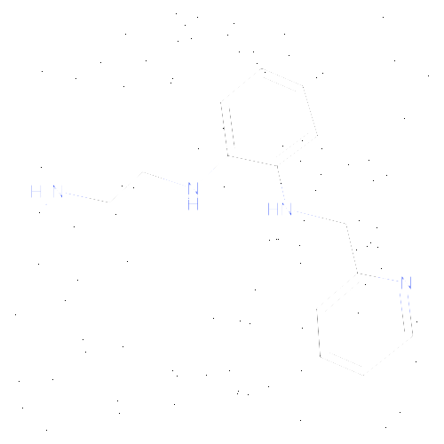 NCCNc1ccccc1NCc1ccccn1